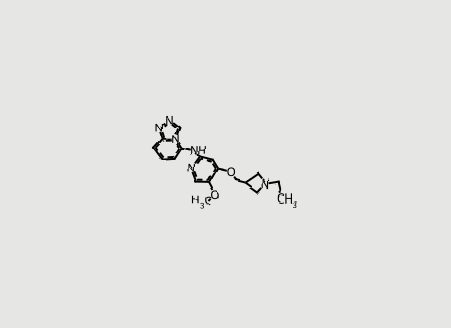 CCN1CC(COc2cc(Nc3cccc4nncn34)ncc2OC)C1